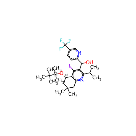 CC(C)c1nc2c(c(I)c1C(O)c1ccc(C(F)(F)F)cn1)[C@@H](O[Si](C)(C)C(C)(C)C)CC(C)(C)C2